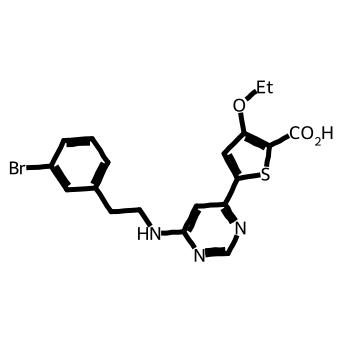 CCOc1cc(-c2cc(NCCc3cccc(Br)c3)ncn2)sc1C(=O)O